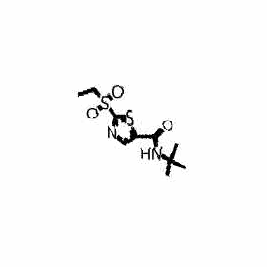 CCS(=O)(=O)c1ncc(C(=O)NC(C)(C)C)s1